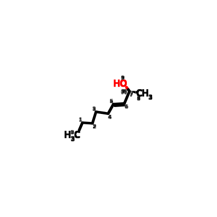 CCCCCC=C[C@@H](C)O